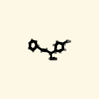 CNC(C#Cc1ccccc1)c1ccc(Cl)cc1